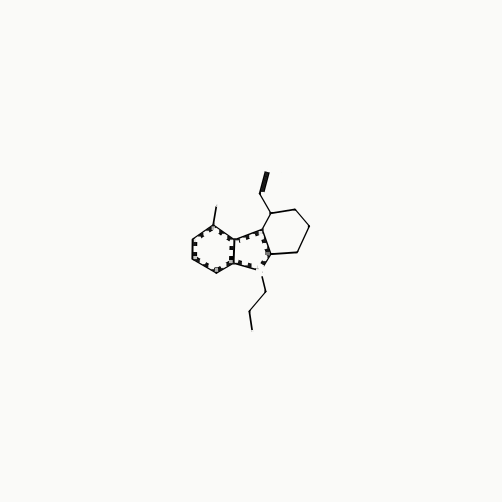 C=CC1CCCc2c1c1c(CC)cccc1n2CCF